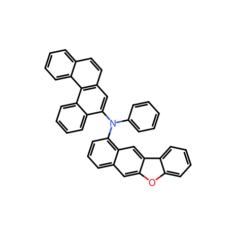 c1ccc(N(c2cccc3cc4oc5ccccc5c4cc23)c2cc3ccc4ccccc4c3c3ccccc23)cc1